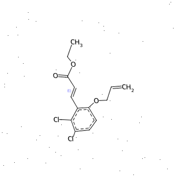 C=CCOc1ccc(Cl)c(Cl)c1/C=C/C(=O)OCC